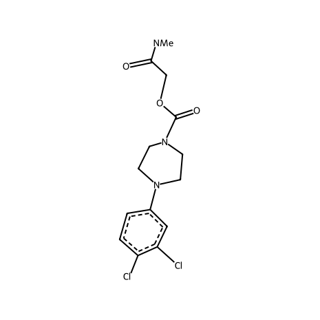 CNC(=O)COC(=O)N1CCN(c2ccc(Cl)c(Cl)c2)CC1